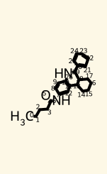 CCCCC(=O)Nc1ccc2c(c1)C1CCCCC1C(c1ccccc1)N2